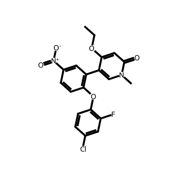 CCOc1cc(=O)n(C)cc1-c1cc([N+](=O)[O-])ccc1Oc1ccc(Cl)cc1F